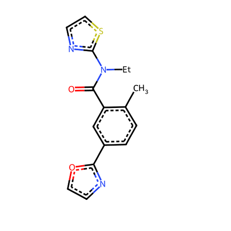 CCN(C(=O)c1cc(-c2ncco2)ccc1C)c1nccs1